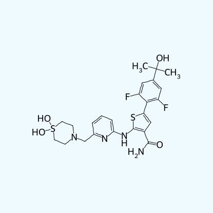 CC(C)(O)c1cc(F)c(-c2cc(C(N)=O)c(Nc3cccc(CN4CCS(O)(O)CC4)n3)s2)c(F)c1